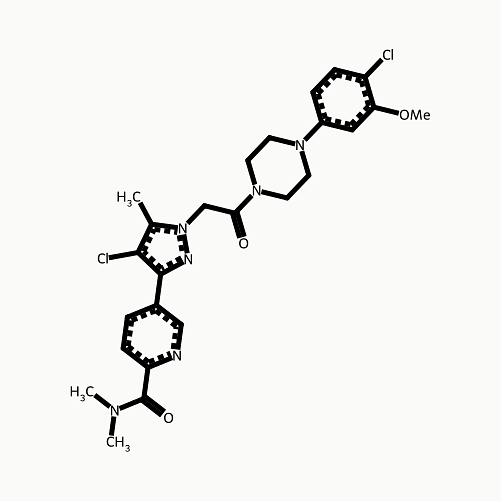 COc1cc(N2CCN(C(=O)Cn3nc(-c4ccc(C(=O)N(C)C)nc4)c(Cl)c3C)CC2)ccc1Cl